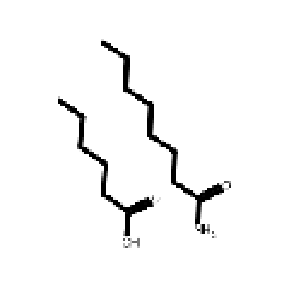 CCCCCC(=O)O.CCCCCCCC(N)=O